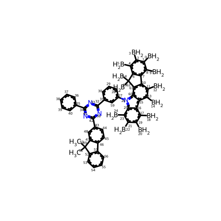 Bc1c(B)c(B)c2c(c1B)-c1c(B)c(B)c3c4c(B)c(B)c(B)c(B)c4n(-c4cccc(-c5nc(-c6ccccc6)nc(-c6ccc7c(c6)C(C)(C)c6ccccc6-7)n5)c4)c3c1C2(B)B